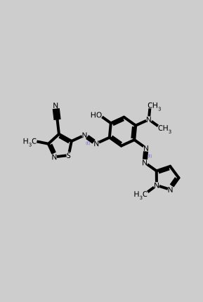 Cc1nsc(/N=N/c2cc(/N=N/c3ccnn3C)c(N(C)C)cc2O)c1C#N